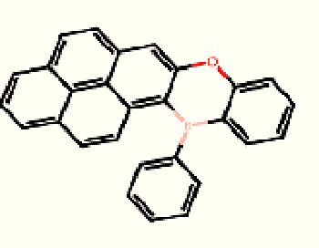 c1ccc(B2c3ccccc3Oc3cc4ccc5cccc6ccc(c32)c4c56)cc1